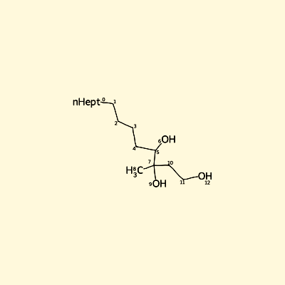 CCCCCCCCCCCC(O)C(C)(O)CCO